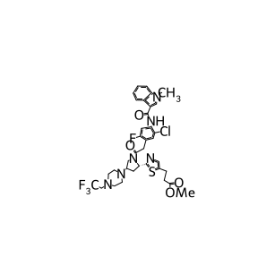 COC(=O)CCc1cnc([C@@H]2C[C@H](N3CCN(CC(F)(F)F)CC3)CN2C(=O)Cc2cc(Cl)c(NC(=O)c3cn(C)c4ccccc34)cc2F)s1